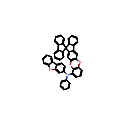 c1ccc(N(c2ccc3c(c2)oc2ccccc23)c2cccc3c2Oc2cc4c(cc2O3)-c2ccccc2C42c3ccccc3-c3ccccc32)cc1